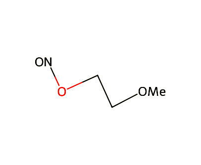 COCCON=O